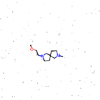 COCCN1CCC2(CCN(C)C2)C1